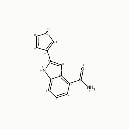 NC(=O)c1cccc2[nH]c(-c3ccsc3)cc12